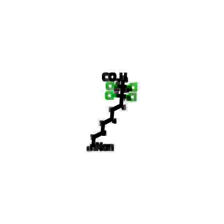 CCCCCCCCCCCCCCCC(Cl)(Cl)C(Cl)(Cl)C(=O)O